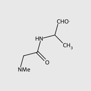 CNCC(=O)NC(C)[C]=O